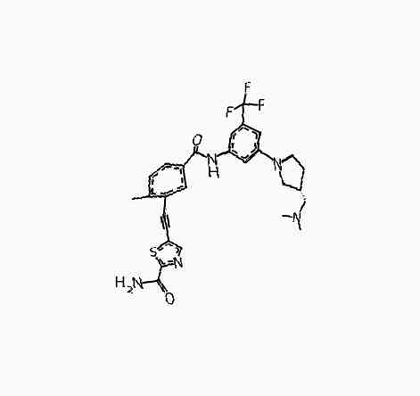 Cc1ccc(C(=O)Nc2cc(N3CC[C@H](CN(C)C)C3)cc(C(F)(F)F)c2)cc1C#Cc1cnc(C(N)=O)s1